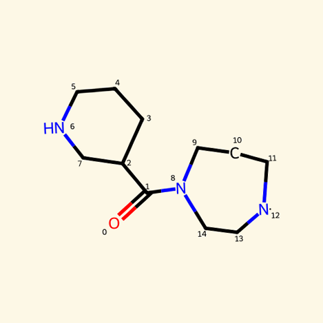 O=C(C1CCCNC1)N1CCC[N]CC1